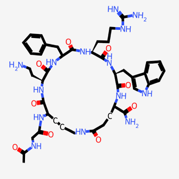 CC(=O)NCC(=O)NC1CCCNC(=O)CCC(C(N)=O)NC(=O)[C@H](Cc2c[nH]c3ccccc23)NC(=O)[C@H](CCCNC(=N)N)NC(=O)C(Cc2ccccc2)NC(=O)[C@H](CCN)NC1=O